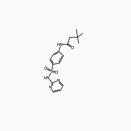 CC(C)(C)CC(=O)Nc1ccc(S(=O)(=O)Nc2ncccn2)cc1